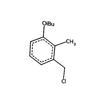 Cc1c(CCl)cccc1OCC(C)C